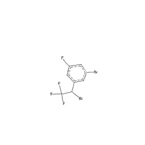 Fc1cc(Br)cc(C(Br)C(F)(F)F)c1